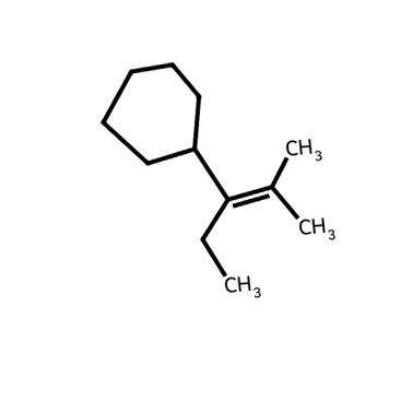 CCC(=C(C)C)C1CCCCC1